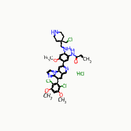 C=CC(=O)Nc1cc(-c2cc3c(cn2)cc(-c2c(Cl)c(OC)cc(OC)c2Cl)c2nccn23)c(OC)cc1NCC1(CCl)CCNCC1.Cl